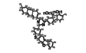 CCCCCCCCC1(CCCCCCCC)c2cc(C)ccc2-c2ccc(-c3cc(-c4ccc5cc6cc(C)ccc6cc5c4)nc(-c4ccc5sc6cc7oc8ccccc8c7cc6c5c4)n3)cc21